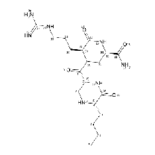 CCCC[C@@H]1NC[C@H](C(=O)C2C[C@H](C(N)=O)NC(=O)[C@@H]2CCCNC(=N)N)NC1=O